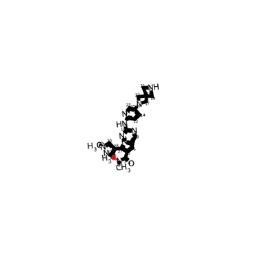 CN(C)C(=O)c1cc2cnc(Nc3ccc(N4CC5(CNC5)C4)cn3)nn2c1-c1cnn(C)c1